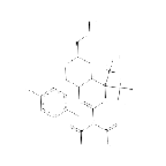 COC[C@H]1C[C@H]2C(C(C)(C)C)(C(C)(C)C)SC(N(C(=O)O)C(=O)O)=N[C@@]2(c2cc(Br)ccc2F)CO1